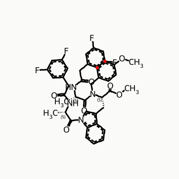 COC(=O)[C@H](Cc1cn(C(=O)[C@H](C)NC(=O)Cc2cc(F)cc(F)c2)c2ccccc12)N(Cc1ccc(OC)cc1)C(=O)[C@H](C)NC(=O)Cc1cc(F)cc(F)c1